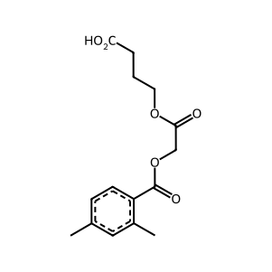 Cc1ccc(C(=O)OCC(=O)OCCCC(=O)O)c(C)c1